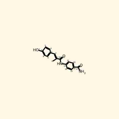 C/C(=C\c1ccc(O)cc1)C(=O)Nc1ccc(C(N)=O)cc1